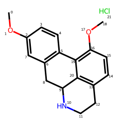 COc1ccc2c(c1)CC1NCCc3ccc(OC)c-2c31.Cl